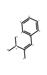 CC(=Cc1ccccc1)P(C)C